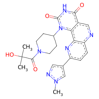 Cn1cc(-c2ccc3ncc4c(=O)[nH]c(=O)n(C5CCN(C(=O)C(C)(C)O)CC5)c4c3n2)cn1